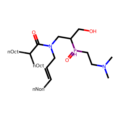 CCCCCCCCCC=CCN(CC(CO)[PH](=O)CCN(C)C)C(=O)C(CCCCCCCC)CCCCCCCC